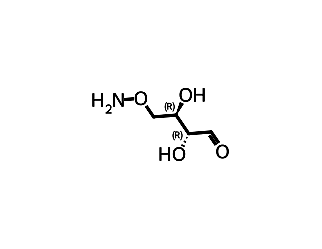 NOC[C@@H](O)[C@@H](O)C=O